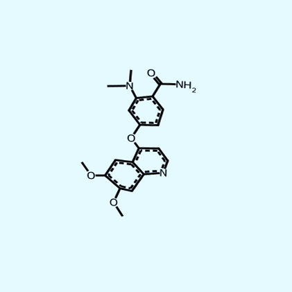 COc1cc2nccc(Oc3ccc(C(N)=O)c(N(C)C)c3)c2cc1OC